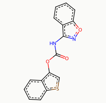 O=C(Nc1noc2ccccc12)Oc1csc2ccccc12